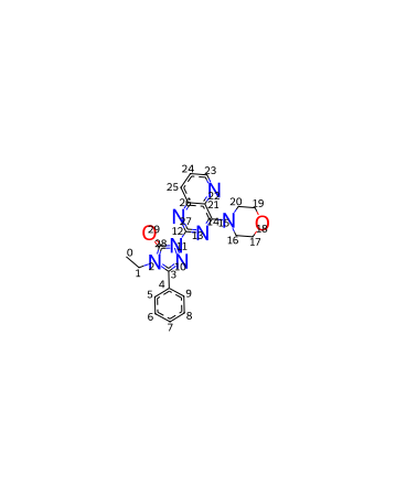 CCn1c(-c2ccccc2)nn(-c2nc(N3CCOCC3)c3ncccc3n2)c1=O